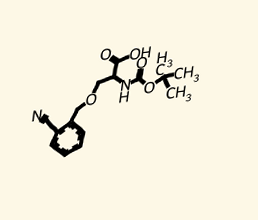 CC(C)(C)OC(=O)NC(COCc1ccccc1C#N)C(=O)O